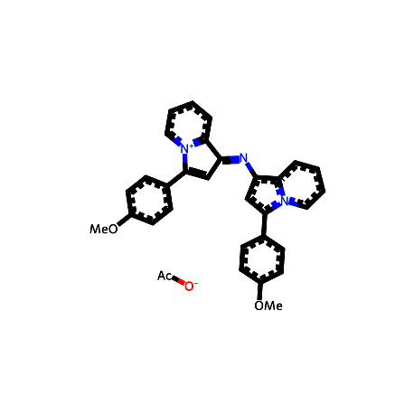 CC(=O)[O-].COc1ccc(C2=C/C(=N\c3cc(-c4ccc(OC)cc4)n4ccccc34)c3cccc[n+]32)cc1